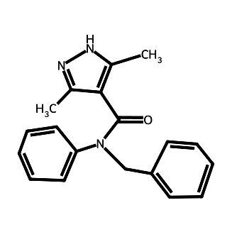 Cc1n[nH]c(C)c1C(=O)N(Cc1ccccc1)c1ccccc1